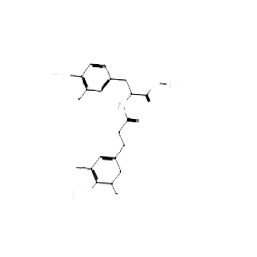 CC(C)(C)OC(=O)C(Cc1ccc(O)c(I)c1)NC(=O)CCC1=CC(I)=C(O)C(I)C1